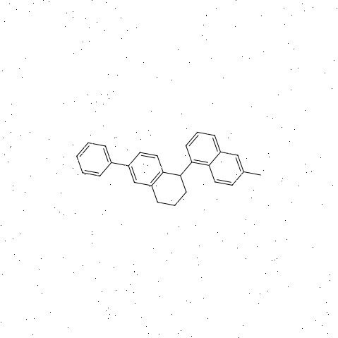 Cc1ccc2c(C3CCCc4cc(-c5ccccc5)ccc43)cccc2c1